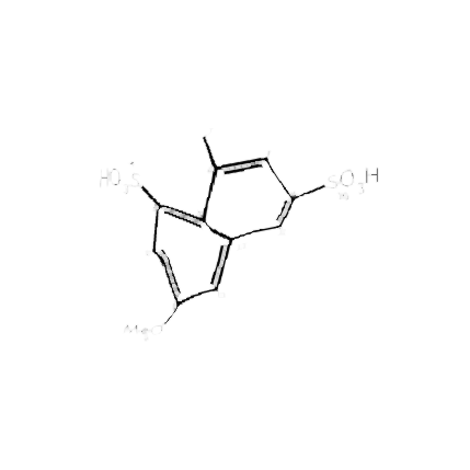 COc1cc(S(=O)(=O)O)c2c(C)cc(S(=O)(=O)O)cc2c1